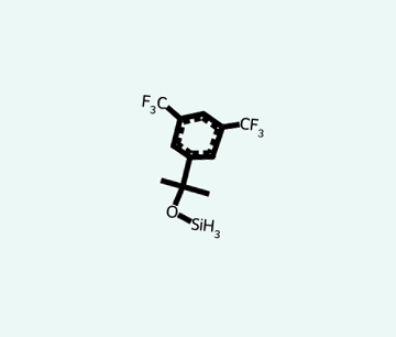 CC(C)(O[SiH3])c1cc(C(F)(F)F)cc(C(F)(F)F)c1